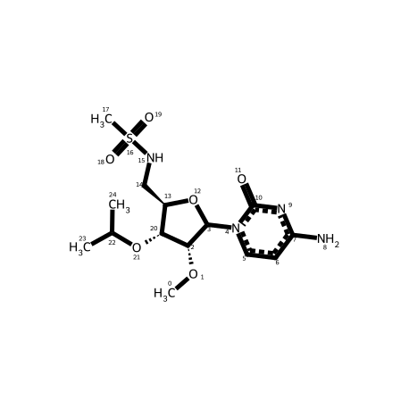 CO[C@H]1C(n2ccc(N)nc2=O)O[C@H](CNS(C)(=O)=O)[C@H]1OC(C)C